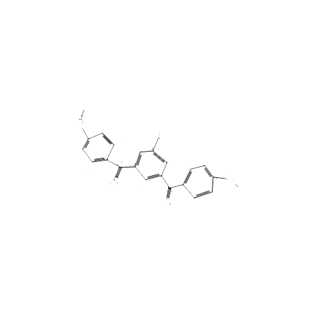 COc1ccc(C(=O)c2cc(I)cc(C(=O)c3ccc(OC)cc3)c2)cc1